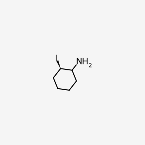 NC1CCCC[C@H]1I